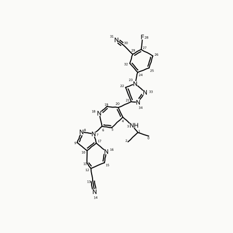 CC(C)Nc1cc(-n2ncc3cc(C#N)cnc32)ncc1-c1cn(-c2ccc(F)c(C#N)c2)nn1